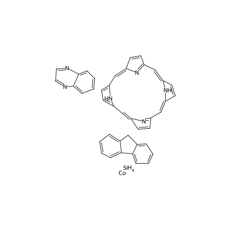 C1=Cc2cc3ccc(cc4nc(cc5ccc(cc1n2)[nH]5)C=C4)[nH]3.[Co].[SiH4].c1ccc2c(c1)Cc1ccccc1-2.c1ccc2nccnc2c1